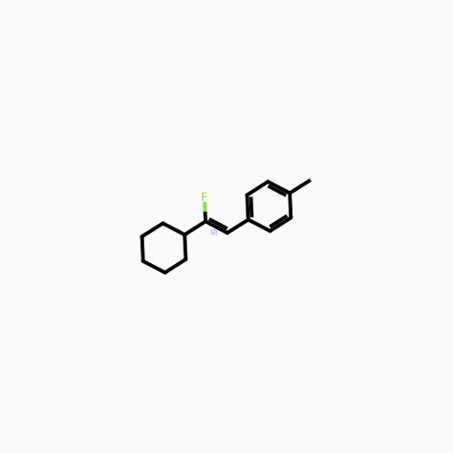 Cc1ccc(/C=C(\F)C2CCCCC2)cc1